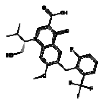 COc1cc2c(cc1Cc1c(F)cccc1C(F)(F)F)c(=O)c(C(=O)O)cn2[C@H](CO)C(C)C